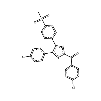 CS(=O)(=O)c1ccc(-c2sc(C(=O)c3ccc(Cl)cc3)nc2-c2ccc(F)cc2)cc1